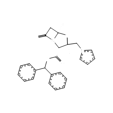 C[C@@]1(Cn2cccc2)S[C@@H]2CC(=O)N2[C@H]1C(=O)OC(c1ccccc1)c1ccccc1